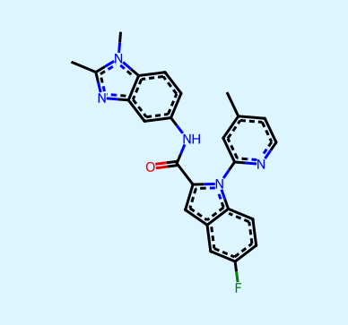 Cc1ccnc(-n2c(C(=O)Nc3ccc4c(c3)nc(C)n4C)cc3cc(F)ccc32)c1